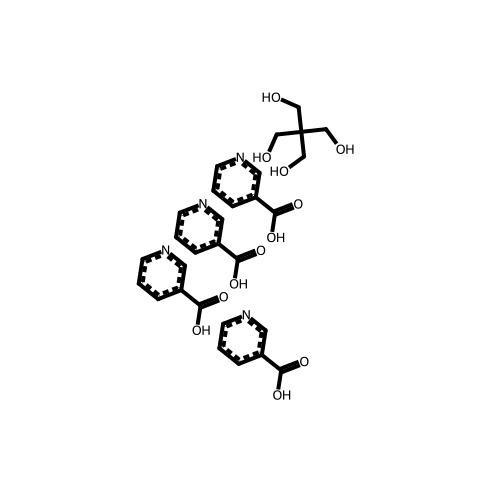 O=C(O)c1cccnc1.O=C(O)c1cccnc1.O=C(O)c1cccnc1.O=C(O)c1cccnc1.OCC(CO)(CO)CO